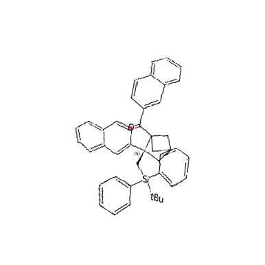 CC(C)(C)[Si](C[C@]1(c2ccc3ccccc3c2)CC2CC1(C(=O)c1ccc3ccccc3c1)C2)(c1ccccc1)c1ccccc1